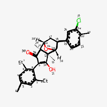 CCc1cc(C)cc(CC)c1C1=C(O)[C@]2(C)[C@@H]3O[C@@H](CC3c3ccc(C)c(Cl)c3)[C@]2(C)C1=O